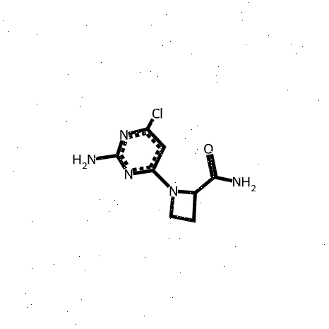 NC(=O)C1CCN1c1cc(Cl)nc(N)n1